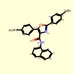 CC(=O)Nc1ccc(-c2oc(-c3ccc(C(C)(C)C)cc3)nc2C(=O)Nc2cccc3ccccc23)cc1